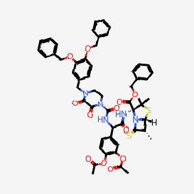 CC(=O)Oc1ccc(C(NC(=O)N2CCN(Cc3ccc(OCc4ccccc4)c(OCc4ccccc4)c3)C(=O)C2=O)C(=O)N[C@@]2(C(=O)OCc3ccccc3)N3C(=S)[C@@H](C)[C@H]3SC2(C)C)cc1OC(C)=O